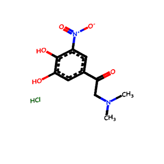 CN(C)CC(=O)c1cc(O)c(O)c([N+](=O)[O-])c1.Cl